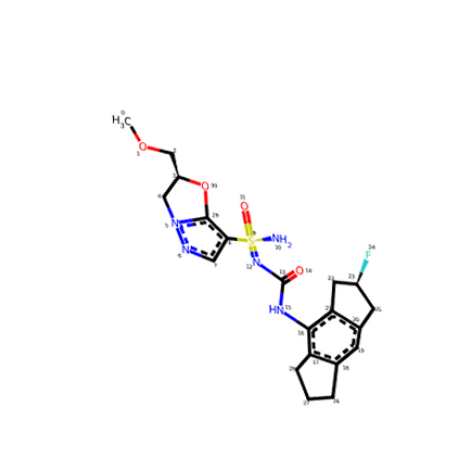 COC[C@@H]1Cn2ncc([S@](N)(=O)=NC(=O)Nc3c4c(cc5c3C[C@@H](F)C5)CCC4)c2O1